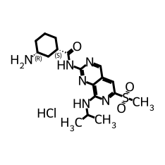 CC(C)Nc1nc(S(C)(=O)=O)cc2cnc(NC(=O)[C@H]3CCC[C@@H](N)C3)nc12.Cl